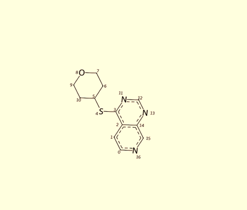 c1cc2c(SC3CCOCC3)ncnc2cn1